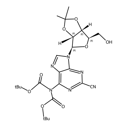 CC(C)(C)OC(=O)N(C(=O)OC(C)(C)C)c1nc(C#N)nc2c1ncn2[C@@H]1O[C@H](CO)[C@H]2OC(C)(C)O[C@H]21